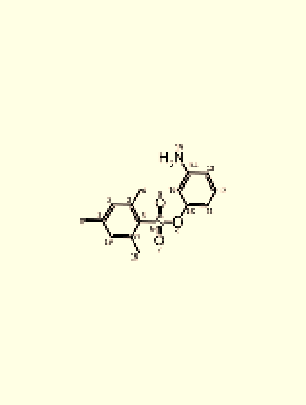 Cc1cc(C)c(S(=O)(=O)Oc2cccc(N)c2)c(C)c1